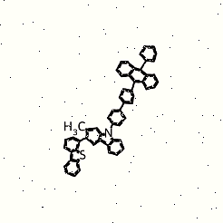 Cc1cc2c(cc1-c1cccc3c1sc1ccccc13)c1ccccc1n2-c1ccc(-c2ccc(-c3c4ccccc4c(-c4ccccc4)c4ccccc34)cc2)cc1